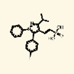 CC(C)c1nn(-c2ccccc2)c(-c2ccc(F)cc2)c1C=CP(=O)(O)O